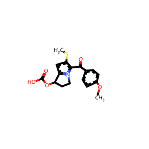 COc1ccc(C(=O)c2c(SC)cc3n2CCC3OC(=O)O)cc1